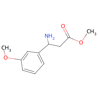 COC(=O)CC(N)c1cccc(OC)c1